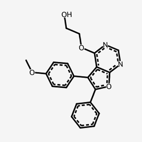 COc1ccc(-c2c(-c3ccccc3)oc3ncnc(OCCO)c23)cc1